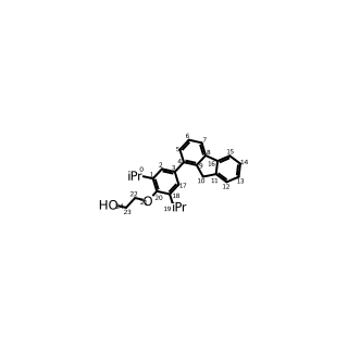 CC(C)c1cc(-c2cccc3c2Cc2ccccc2-3)cc(C(C)C)c1OCCO